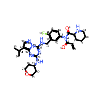 C=CC(=O)N(C(=O)C1CCCCN1)c1ccc(F)c(CNc2nc(NC3CCOCC3)nc3c(C(C)C)cnn23)c1